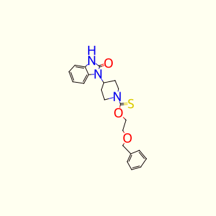 O=c1[nH]c2ccccc2n1C1CCN(C(=S)OCCOCc2ccccc2)CC1